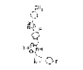 Cc1ccc(-c2nc(-c3ccc(CC(NC(=O)c4cncc(-c5ccc(F)cc5)c4)OC=O)cc3F)no2)cc1